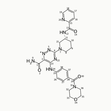 NC(=O)c1nnc(N2CCC[C@@H](NC(=O)c3ccccn3)C2)nc1Nc1ccc(C(=O)N2CCOCC2)cc1